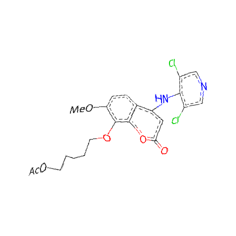 COc1ccc2c(Nc3c(Cl)cncc3Cl)cc(=O)oc2c1OCCCCOC(C)=O